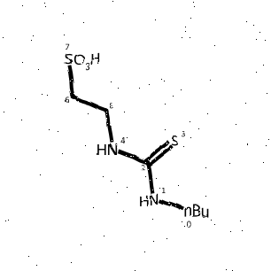 CCCCNC(=S)NCCS(=O)(=O)O